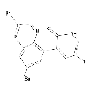 CC(C)(C)c1cc(-c2cc(F)c[nH]c2=O)c2ncc(Br)cc2c1